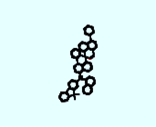 CC1(C)c2ccccc2-c2ccc(N(c3cccc4ccccc34)c3ccc4c5c(cccc35)C3(c5ccccc5-c5ccc(-c6ccccc6)c6cccc3c56)c3ccccc3-4)cc21